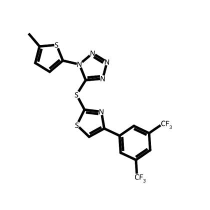 Cc1ccc(-n2nnnc2Sc2nc(-c3cc(C(F)(F)F)cc(C(F)(F)F)c3)cs2)s1